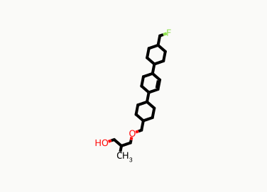 CC(CO)COCC1CCC(C2C=CC(C3CCC(CF)CC3)CC2)CC1